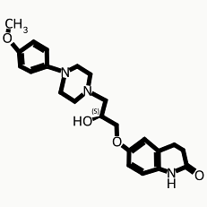 COc1ccc(N2CCN(C[C@H](O)COc3ccc4c(c3)CCC(=O)N4)CC2)cc1